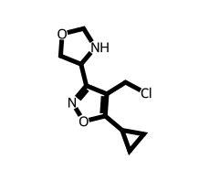 ClCc1c(C2COCN2)noc1C1CC1